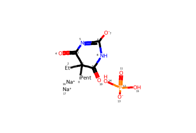 CCCC(C)C1(CC)C(=O)N=C([O-])NC1=O.O=P([O-])(O)O.[Na+].[Na+]